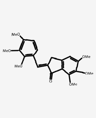 COc1ccc(C=C2Cc3cc(OC)c(OC)c(OC)c3C2=O)c(OC)c1OC